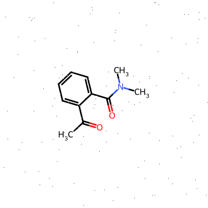 CC(=O)c1ccccc1C(=O)N(C)C